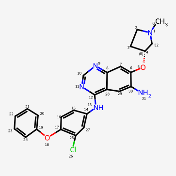 CN1CC[C@@H](Oc2cc3ncnc(Nc4ccc(Oc5ccccc5)c(Cl)c4)c3cc2N)C1